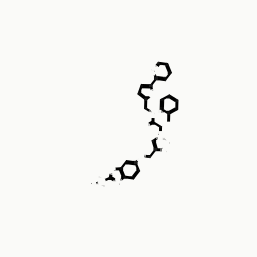 NS(=O)(=O)c1nc2ccc(OCc3cn([C@@H](Cc4ccccc4)C(=O)NCc4ccc(-c5ccccn5)s4)nn3)cc2s1